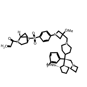 C=CC(=O)N1CC2C[C@H]1CN2S(=O)(=O)c1ccc(N2CC(CN3CCC([C@@](CN4CCC4)(c4cccc(F)c4)[C@H]4CCC[C@@H]4NC(C)=O)CC3)(OC)C2)cc1